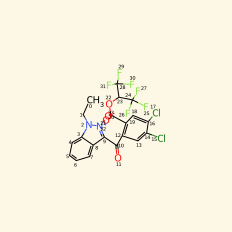 CCn1c2ccccc2c(C(=O)c2cc(Cl)c(Cl)cc2C(=O)OC(C(F)(F)F)C(F)(F)F)[n+]1[O-]